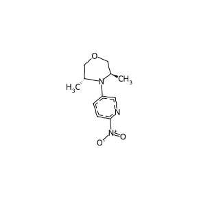 C[C@@H]1COC[C@@H](C)N1c1ccc([N+](=O)[O-])nc1